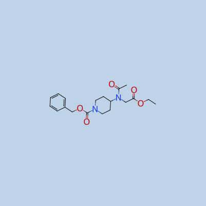 CCOC(=O)CN(C(C)=O)C1CCN(C(=O)OCc2ccccc2)CC1